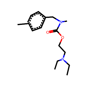 CCN(CC)CCOC(=O)N(C)Cc1ccc(C)cc1